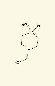 CCC[C@]1(C(C)=O)CC[C@H](CO)CC1